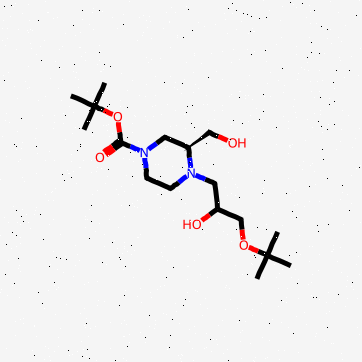 CC(C)(C)OCC(O)CN1CCN(C(=O)OC(C)(C)C)C[C@H]1CO